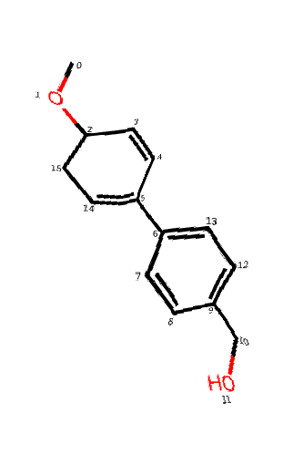 COC1C=CC(c2ccc(CO)cc2)=CC1